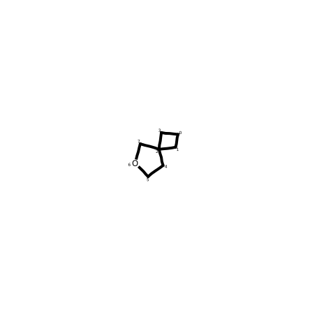 C1CC2(C1)CCOC2